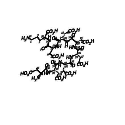 NCCC[C@H](NC(=O)[C@H](CC(=O)O)NC(=O)[C@H](CC(=O)O)NC(=O)[C@H](CC(=O)O)NC(=O)[C@H](CC(=O)O)NC(=O)[C@H](CC(=O)O)NC(=O)[C@H](CC(=O)O)NC(=O)[C@@H](N)CC(=O)O)C(=O)O